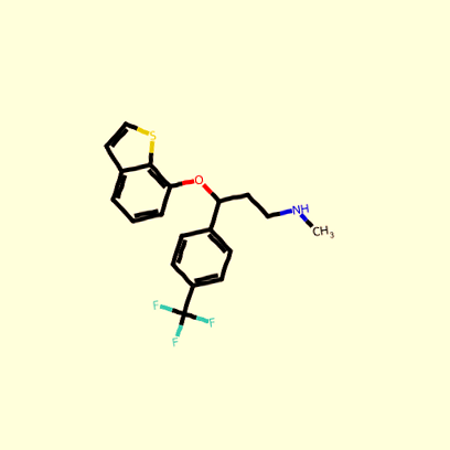 CNCCC(Oc1cccc2ccsc12)c1ccc(C(F)(F)F)cc1